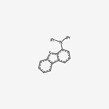 CC(C)N(c1cccc2c1sc1ccccc12)C(C)C